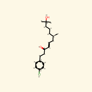 C[C@@H](C/C=C/C(=O)CCc1ccc(Cl)cc1)CCCC(C)(C)O